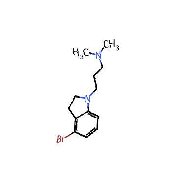 CN(C)CCCN1CCc2c(Br)cccc21